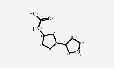 O=C(O)NC1CCN(C2CCOC2)C1